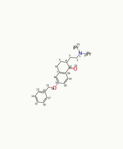 CC(C)N(CCC1CCc2cc(OCc3ccccc3)ccc2C1=O)C(C)C